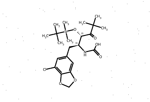 CC(C)(C)C(=O)[C@@H](O[Si](C)(C)C(C)(C)C)[C@H](Cc1cc(Cl)c2c(c1)OCO2)NC(=O)O